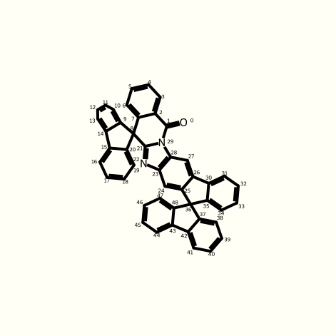 O=C1c2ccccc2C2(c3ccccc3-c3ccccc32)c2nc3cc4c(cc3n21)-c1ccccc1C41c2ccccc2-c2ccccc21